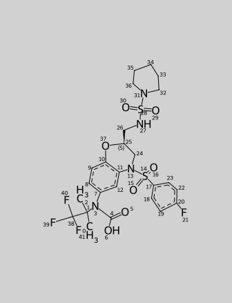 CC(C)(N(C(=O)O)c1ccc2c(c1)N(S(=O)(=O)c1ccc(F)cc1)C[C@H](CNS(=O)(=O)N1CCCCC1)O2)C(F)(F)F